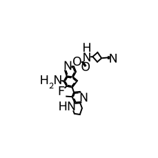 Cc1c(-c2cc3cc(OC(=O)NC4CC(C#N)C4)ncc3c(N)c2F)cnc2c1NCCC2